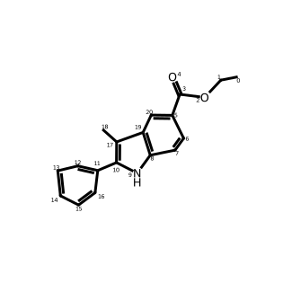 CCOC(=O)c1ccc2[nH]c(-c3ccccc3)c(C)c2c1